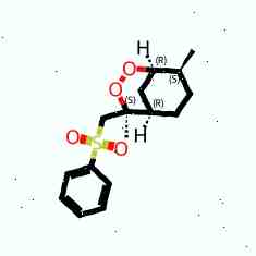 C[C@H]1CC[C@@H]2C[C@H]1OO[C@]2(C)CS(=O)(=O)c1ccccc1